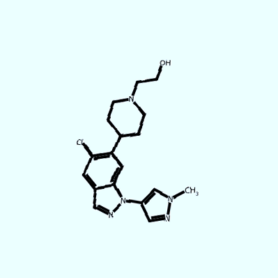 Cn1cc(-n2ncc3cc(Cl)c(C4CCN(CCO)CC4)cc32)cn1